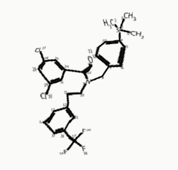 C[Si](C)(C)c1ccc(CN(CCc2cccc(C(F)(F)F)c2)C(=O)c2cc(Cl)cc(Cl)c2)cc1